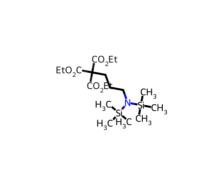 CCOC(=O)C(CCCN([Si](C)(C)C)[Si](C)(C)C)(C(=O)OCC)C(=O)OCC